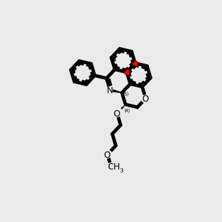 COCCCO[C@H]1COc2ccccc2[C@@H]1N=C(c1ccccc1)c1ccccc1